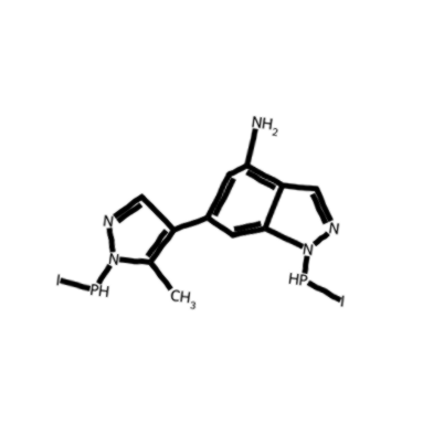 Cc1c(-c2cc(N)c3cnn(PI)c3c2)cnn1PI